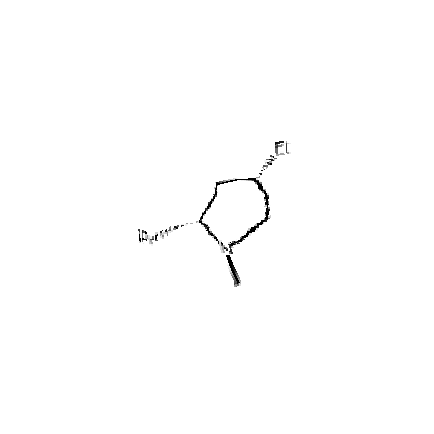 CC[C@H]1C[C@@H](C(C)C)N(C)C1